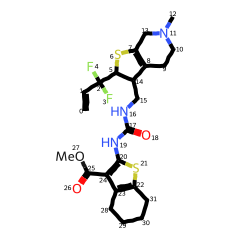 C=CC(F)(F)C1SC2=C(CCN(C)C2)C1CNC(=O)Nc1sc2c(c1C(=O)OC)CCCC2